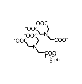 O=C([O-])CN(CC(=O)[O-])CC(=O)[O-].O=C([O-])CN(CC(=O)[O-])CC(=O)[O-].[Co+2].[Sn+4]